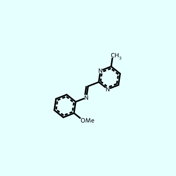 COc1ccccc1N=Cc1nccc(C)n1